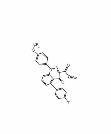 COC(=O)c1nn(-c2ccc(OC(F)(F)F)cc2)c2cccc(-c3ccc(F)cc3)c2c1=O